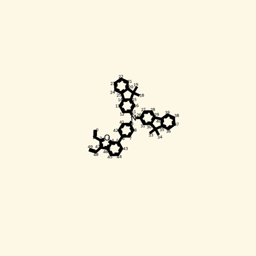 C=Cc1oc2c(-c3ccc(N(c4ccc5c(c4)C(C)(C)c4ccccc4-5)c4ccc5c(c4)C(C)(C)c4ccccc4-5)cc3)cccc2c1C=C